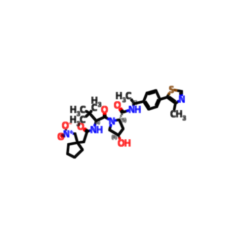 Cc1ncsc1-c1ccc([C@H](C)NC(=O)[C@@H]2C[C@@H](O)CN2C(=O)[C@@H](NC(=O)CC2(C[N+](=O)[O-])CCCC2)C(C)(C)C)cc1